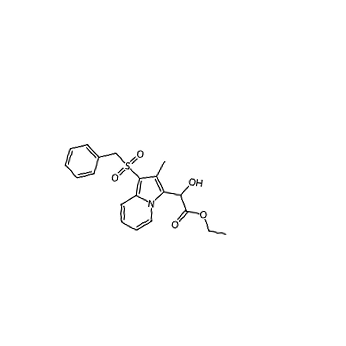 CCOC(=O)C(O)c1c(C)c(S(=O)(=O)Cc2ccccc2)c2ccccn12